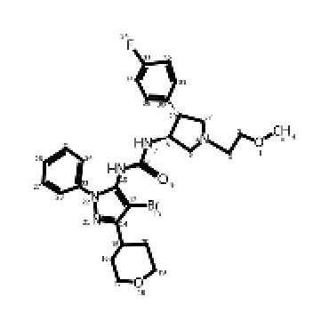 COCCN1C[C@@H](NC(=O)Nc2c(Br)c(C3CCOCC3)nn2-c2ccccc2)[C@H](c2ccc(F)cc2)C1